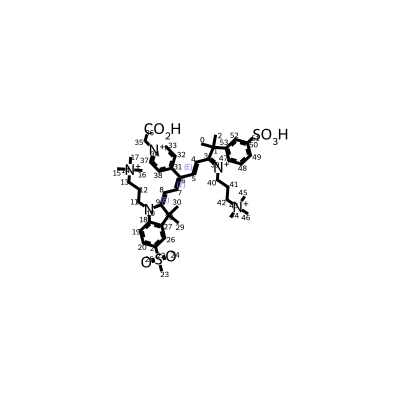 CC1(C)C(/C=C/C(=C/C=C2/N(CCC[N+](C)(C)C)c3ccc(S(C)(=O)=O)cc3C2(C)C)c2cc[n+](CC(=O)O)cc2)=[N+](CCC[N+](C)(C)C)c2ccc(S(=O)(=O)O)cc21